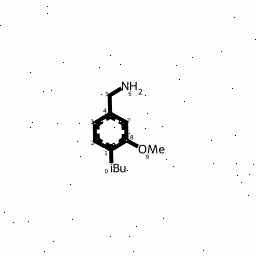 CCC(C)c1ccc(CN)cc1OC